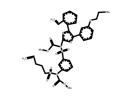 C=CCCCS(=O)(=O)N(C(=O)OC(C)(C)C)c1cccc(S(=O)(=O)N(C(=O)OC(C)(C)C)c2nc(-c3ccccc3C=C)c(-c3cccc(OCCC(C)(C)C)c3)s2)c1